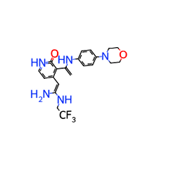 C=C(Nc1ccc(N2CCOCC2)cc1)c1c(/C=C(\N)NCC(F)(F)F)cc[nH]c1=O